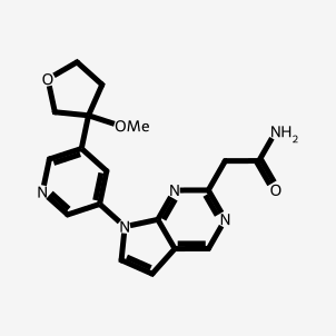 COC1(c2cncc(-n3ccc4cnc(CC(N)=O)nc43)c2)CCOC1